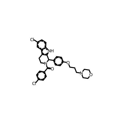 O=C(c1ccc(Cl)cc1)N1CCc2c([nH]c3ccc(Cl)cc23)C1c1ccc(OCCCN2CCOCC2)cc1